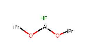 CC(C)[O][Al][O]C(C)C.F